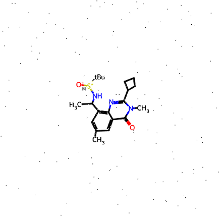 Cc1cc(C(C)N[S@+]([O-])C(C)(C)C)c2nc(C3CCC3)n(C)c(=O)c2c1